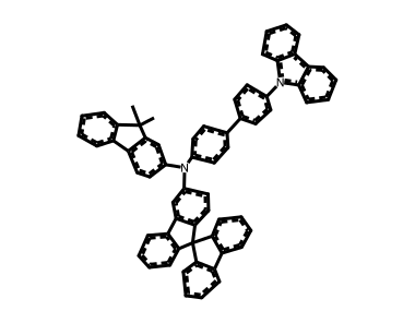 CC1(C)c2ccccc2-c2ccc(N(c3ccc(-c4ccc(-n5c6ccccc6c6ccccc65)cc4)cc3)c3ccc4c(c3)-c3ccccc3C43c4ccccc4-c4ccccc43)cc21